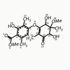 COC(=O)c1c(C)cc(OC2=C(C)C(=O)C(O)C(C)(OC)C2O)c(C)c1O